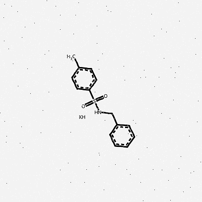 Cc1ccc(S(=O)(=O)NCc2ccccc2)cc1.[KH]